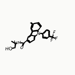 Cc1ccc2c(c1)c1cc(C(=O)NC(C)CO)ccc1n2-c1ccc(C(F)(F)F)cc1